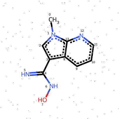 Cn1cc(C(=N)NO)c2cccnc21